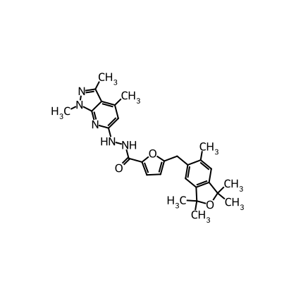 Cc1cc2c(cc1Cc1ccc(C(=O)NNc3cc(C)c4c(C)nn(C)c4n3)o1)C(C)(C)OC2(C)C